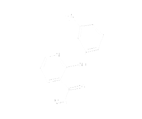 COC(=O)c1cccnc1Nc1cccc([N+](=O)[O-])c1